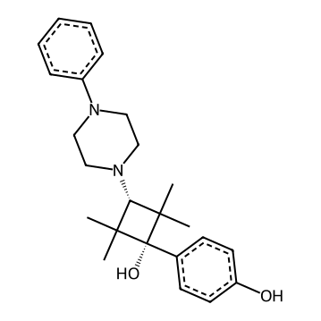 CC1(C)[C@H](N2CCN(c3ccccc3)CC2)C(C)(C)[C@@]1(O)c1ccc(O)cc1